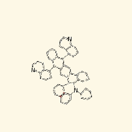 c1ccc(-c2c(N(c3ccccc3)c3ccccc3)c3ccccc3c3cc4c(-c5cccc6ncccc56)c5ccccc5c(-c5cccc6ncccc56)c4cc23)cc1